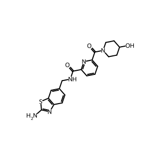 Nc1nc2ccc(CNC(=O)c3cccc(C(=O)N4CCC(O)CC4)n3)cc2s1